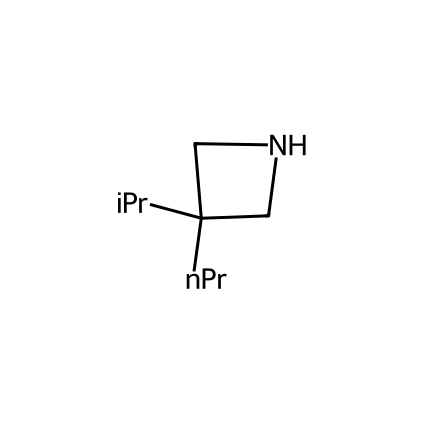 CCCC1(C(C)C)CNC1